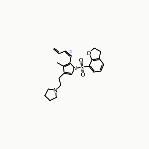 C=C/C=C\c1c(C)c(CCN2CCCC2)cn1S(=O)(=O)c1cccc2c1OCC2